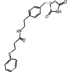 O=C(CCSc1ccccc1)NCCc1ccc(C[C@@H]2SC(=O)NC2=O)cc1